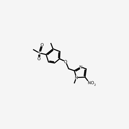 Cc1cc(OCc2ncc([N+](=O)[O-])n2C)ccc1S(C)(=O)=O